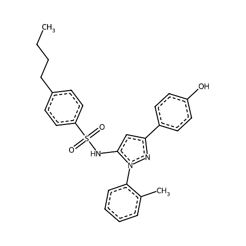 CCCCc1ccc(S(=O)(=O)Nc2cc(-c3ccc(O)cc3)nn2-c2ccccc2C)cc1